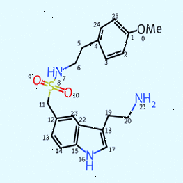 COc1ccc(CCNS(=O)(=O)Cc2ccc3[nH]cc(CCN)c3c2)cc1